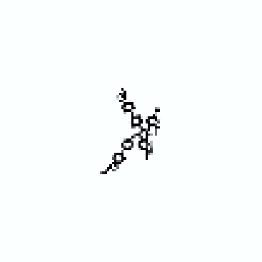 CCCOc1ccc(-c2ccc(CC(c3ccc(F)nc3F)C(Cc3ccc(F)nc3F)c3ccc(-c4ccc(OCC)cc4)cc3)cc2)cc1